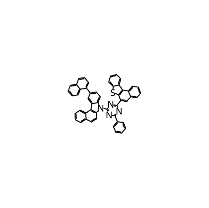 c1ccc(-c2nc(-c3cc4ccccc4c4c3sc3ccccc34)nc(-n3c4ccc(-c5cccc6ccccc56)cc4c4c5ccccc5ccc43)n2)cc1